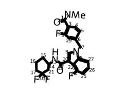 CNC(=O)c1ccc(Cn2cc(C(=O)NC3CCCC(F)(F)C3)c3c(F)cccc32)cc1F